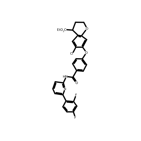 CCOC(=O)C1CCOc2cc(Oc3ccc(C(=O)Nc4cccc(-c5ccc(F)cc5F)n4)cc3)c(Cl)cc21